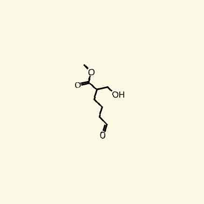 COC(=O)C(CO)CCCC=O